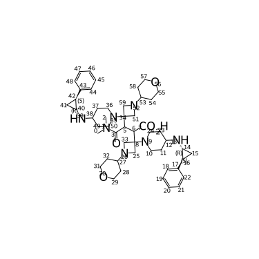 CN(C)C(=O)C(C(C(=O)O)C1(N2CCC(N[C@@H]3C[C@H]3c3ccccc3)CC2)CN(C2CCOCC2)C1)C1(N2CCC(N[C@@H]3C[C@H]3c3ccccc3)CC2)CN(C2CCOCC2)C1